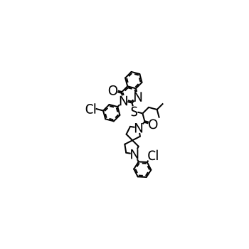 CC(C)CC(Sc1nc2ccccc2c(=O)n1-c1cccc(Cl)c1)C(=O)N1CCC2(CCN(c3ccccc3Cl)C2)C1